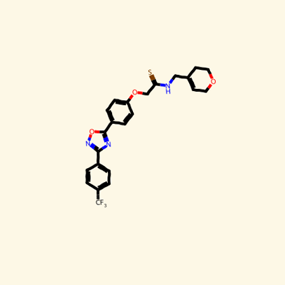 FC(F)(F)c1ccc(-c2noc(-c3ccc(OCC(=S)NCC4=CCOCC4)cc3)n2)cc1